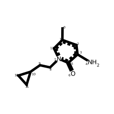 Cc1cc(N)c(=O)n(CCC2CC2)c1